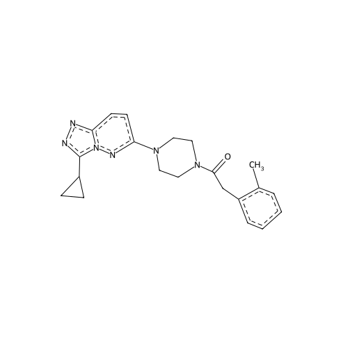 Cc1ccccc1CC(=O)N1CCN(c2ccc3nnc(C4CC4)n3n2)CC1